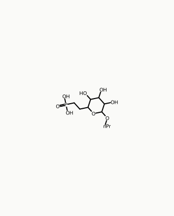 CCCOC1OC(CCP(=O)(O)O)C(O)C(O)C1O